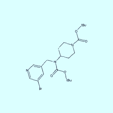 CC(C)(C)OC(=O)N1CCC(N(Cc2cncc(Br)c2)C(=O)OC(C)(C)C)CC1